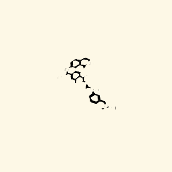 BN(C)Cc1cccc(NC(=O)OC[C@H](C)c2ccc(C(C=O)Nc3ccc4cc[nH]c(=O)c4c3)cc2C)c1